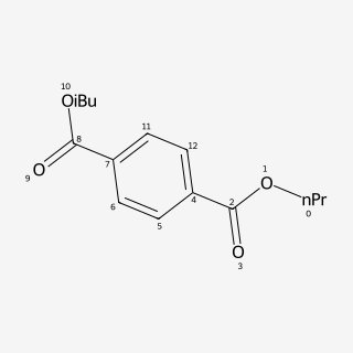 CCCOC(=O)c1ccc(C(=O)OCC(C)C)cc1